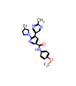 CC[C@H]1CCN(c2ncc(C(=O)Nc3ccc(OC(F)(F)F)cc3)cc2-c2cnc(C)nc2)C1